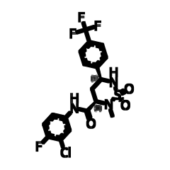 CN1[C@@H](C(=O)Nc2ccc(F)c(Cl)c2)C[C@@H](c2ccc(C(F)(F)F)cc2)NS1(=O)=O